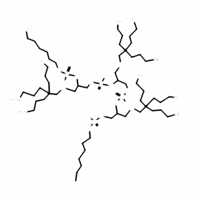 CCCCCCCOP(=O)(O)OCC(COCC(CCCN)(CCCN)CCCN)OP(=O)(O)OCC(COCC(CCCN)(CCCN)CCCN)OP(=O)(O)OCC(COCC(CCCN)(CCCN)CCCN)OP(=O)(O)OCCCCCCO